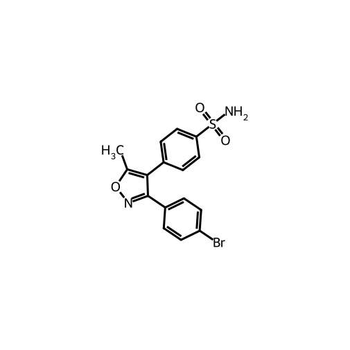 Cc1onc(-c2ccc(Br)cc2)c1-c1ccc(S(N)(=O)=O)cc1